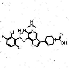 CNC.C[C@@H](Oc1c(N)ncc2c(C3=CCN(C(=O)O)CC3)coc12)c1c(Cl)ccc(F)c1Cl